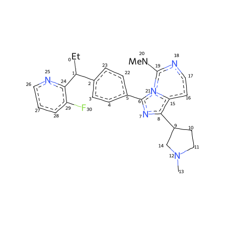 CCC(c1ccc(-c2nc(C3CCN(C)C3)c3ccnc(NC)n23)cc1)c1ncccc1F